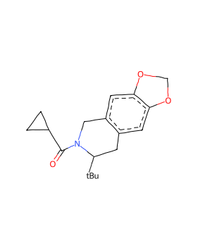 CC(C)(C)C1Cc2cc3c(cc2CN1C(=O)C1CC1)OCO3